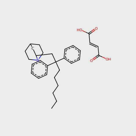 CCCCCCC(CC1CC2CCN1CC2)(c1ccccc1)c1ccccc1.O=C(O)C=CC(=O)O